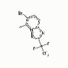 Cc1c(Br)ccc2nc(C(F)(F)C(F)(F)F)cn12